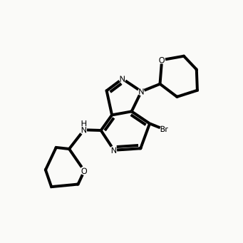 Brc1cnc(NC2CCCCO2)c2cnn(C3CCCCO3)c12